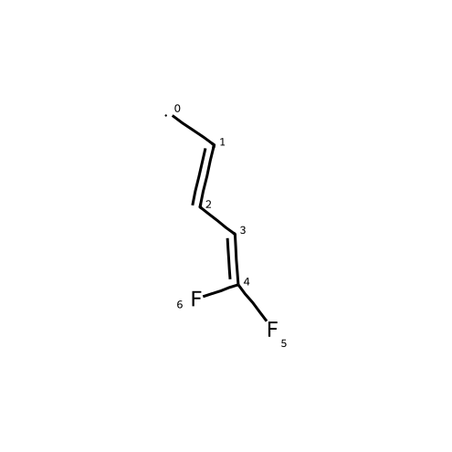 [CH2]/C=C/C=C(F)F